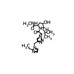 CCc1nccn1Cc1cn([C@H](C(=O)N2CC(O)CC2C(=O)NC)C(C)(C)C)nn1